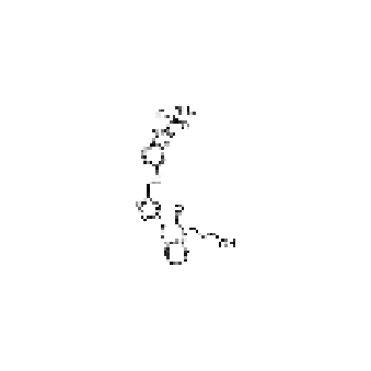 NS(=O)(=O)c1nc2ccc(OCc3cn(C(Cc4ccccc4)C(=O)NCCCO)nn3)cc2s1